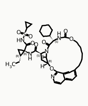 CC[C@@H]1C[C@]1(NC(=O)[C@@H]1C[C@H]2Oc3nccc4ccc(cc34)CCCCCOC(=O)N[C@@H](C3CCCCC3)C(=O)N1C2I)C(=O)NS(=O)(=O)C1CC1